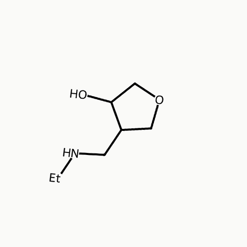 CCNCC1COCC1O